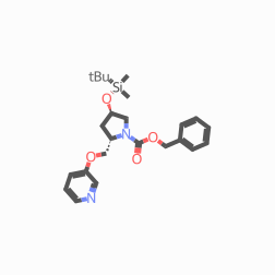 CC(C)(C)[Si](C)(C)O[C@@H]1C[C@@H](COc2cccnc2)N(C(=O)OCc2ccccc2)C1